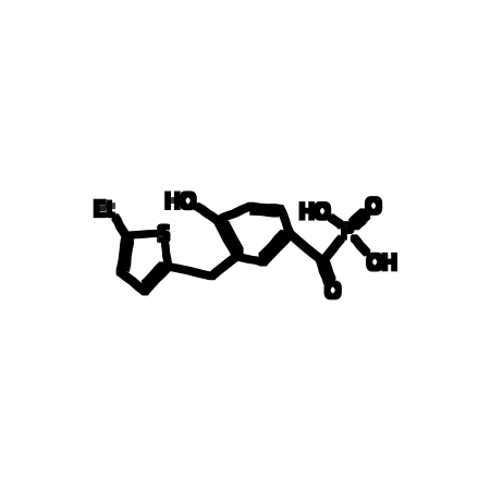 CCc1ccc(Cc2cc(C(=O)P(=O)(O)O)ccc2O)s1